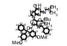 COc1ccc(C(OC[C@H]2O[C@@H](n3cnc4c(=O)[nH]c(/N=C/N(C)C)nc43)[C@H](O[Si](C)(C)C(C)(C)C)[C@@H]2N=Cc2ccccc2)(c2ccccc2)c2ccc(OC)cc2)cc1